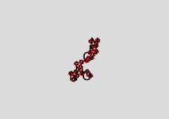 c1ccc(-c2ccc(-c3ccccc3N(c3ccc(-c4ccccc4-n4c5ccccc5c5ccccc54)cc3)c3cccc(-c4cccc5c4oc4cc(-c6ccc(-c7ccccc7)c(-c7ccc(N(c8ccc(-c9ccccc9-n9c%10ccccc%10c%10ccccc%109)cc8)c8cccc(-c9cccc%10c9oc9ccccc9%10)c8)cc7)c6)ccc45)c3)cc2)cc1